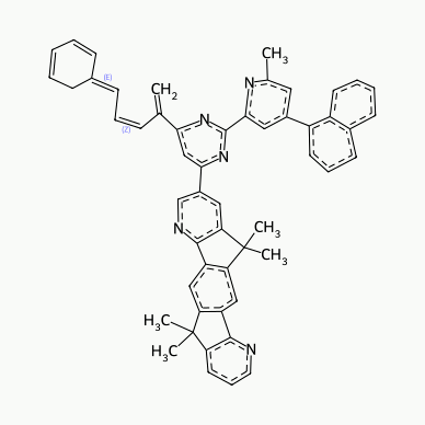 C=C(/C=C\C=C1\C=CC=CC1)c1cc(-c2cnc3c(c2)C(C)(C)c2cc4c(cc2-3)C(C)(C)c2cccnc2-4)nc(-c2cc(-c3cccc4ccccc34)cc(C)n2)n1